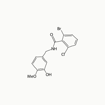 COc1ccc(CNC(=O)c2c(Cl)cccc2Br)cc1O